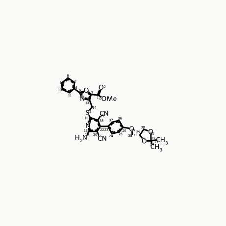 COC(=O)c1oc(-c2ccccc2)nc1CSc1nc(N)c(C#N)c(-c2ccc(OC[C@@H]3COC(C)(C)O3)cc2)c1C#N